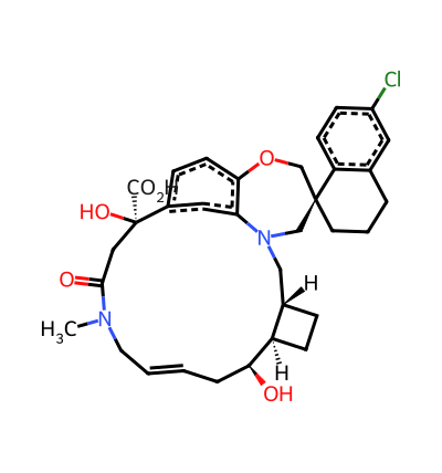 CN1C/C=C/C[C@H](O)[C@@H]2CC[C@H]2CN2C[C@@]3(CCCc4cc(Cl)ccc43)COc3ccc(cc32)[C@@](O)(C(=O)O)CC1=O